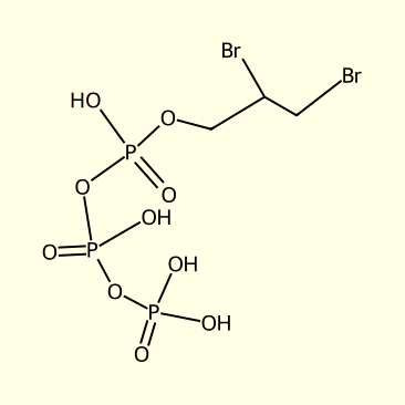 O=P(O)(O)OP(=O)(O)OP(=O)(O)OCC(Br)CBr